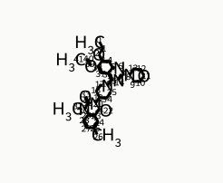 CCOc1cc2nc(N3CCOCC3)nc(N3CCC(n4c(=O)c5cc(C)ccc5n(C)c4=O)CC3)c2cc1OCC